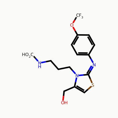 O=C(O)NCCCn1c(CO)csc1=Nc1ccc(OC(F)(F)F)cc1